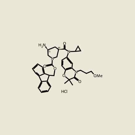 COCCCN1C(=O)C(C)(C)Oc2ccc(N(C(=O)[C@@H]3C[C@H](N)CN(C(=O)OCC4c5ccccc5-c5ccccc54)C3)C3CC3)cc21.Cl